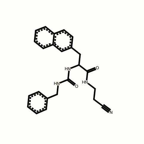 N#CCCNC(=O)C(Cc1ccc2ccccc2c1)NC(=O)NCc1ccccc1